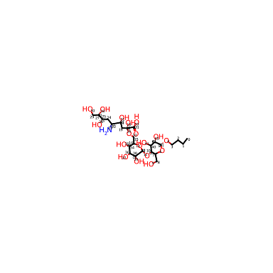 CCCCO[C@@H]1OC(CO)[C@@H](O[C@@H]2OC(CO[C@@](O)(C[C@@H](O)[C@@H](N)C[C@H](O)[C@H](O)CO)C(=O)O)[C@H](O)C(O)[C@@H]2O)C(O)[C@@H]1O